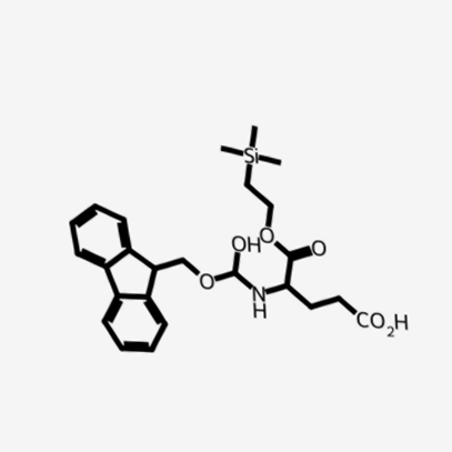 C[Si](C)(C)CCOC(=O)C(CCC(=O)O)NC(O)OCC1c2ccccc2-c2ccccc21